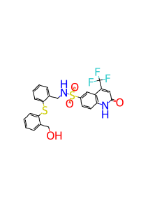 O=c1cc(C(F)(F)F)c2cc(S(=O)(=O)NCc3ccccc3Sc3ccccc3CO)ccc2[nH]1